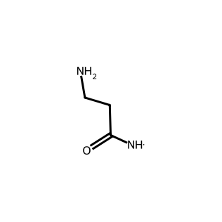 [NH]C(=O)CCN